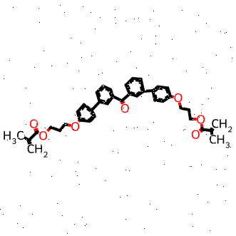 C=C(C)C(=O)OCCCOc1ccc(-c2cccc(C(=O)c3cccc(-c4ccc(OCCCOC(=O)C(=C)C)cc4)c3)c2)cc1